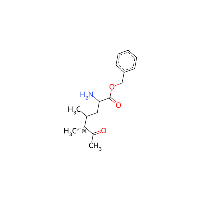 CC(=O)[C@H](C)C(C)CC(N)C(=O)OCc1ccccc1